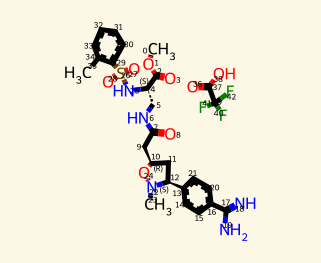 COC(=O)[C@H](CNC(=O)C[C@H]1C[C@@H](c2ccc(C(=N)N)cc2)N(C)O1)NS(=O)(=O)c1ccccc1C.O=C(O)C(F)(F)F